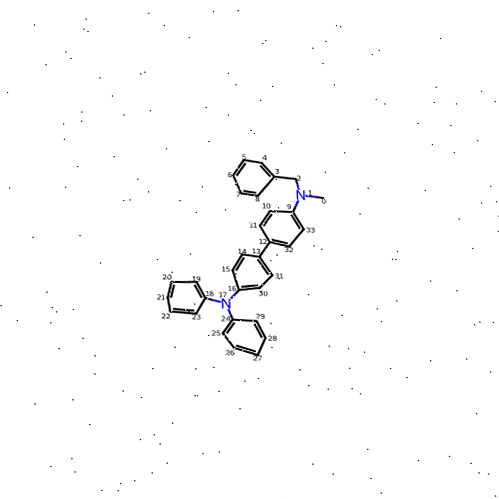 CN(Cc1ccccc1)c1ccc(-c2ccc(N(c3ccccc3)c3ccccc3)cc2)cc1